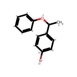 CC(Oc1ccccc1)c1ccc(Br)cc1